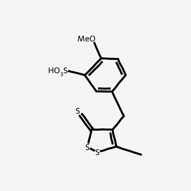 COc1ccc(Cc2c(C)ssc2=S)cc1S(=O)(=O)O